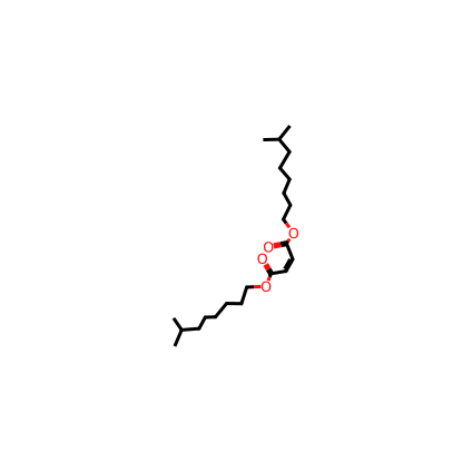 CC(C)CCCCCCOC(=O)/C=C\C(=O)OCCCCCCC(C)C